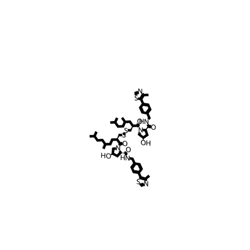 Cc1ncsc1-c1ccc(CNC(=O)[C@H]2C[C@H](O)CN2C(=O)[C@@H](CSSC[C@H](CCC(C)CCC(C)C)C(=O)N2C[C@H](O)C[C@H]2C(=O)NCc2ccc(-c3scnc3C)cc2)CC(C)CCC(C)C)cc1